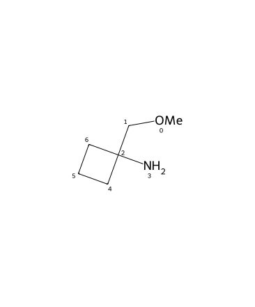 COCC1(N)CCC1